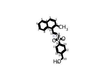 Cc1ccc2ccccc2c1/C=N/S(=O)(=O)c1ccc(CO)cc1